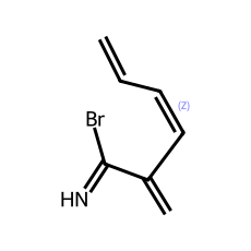 C=C/C=C\C(=C)C(=N)Br